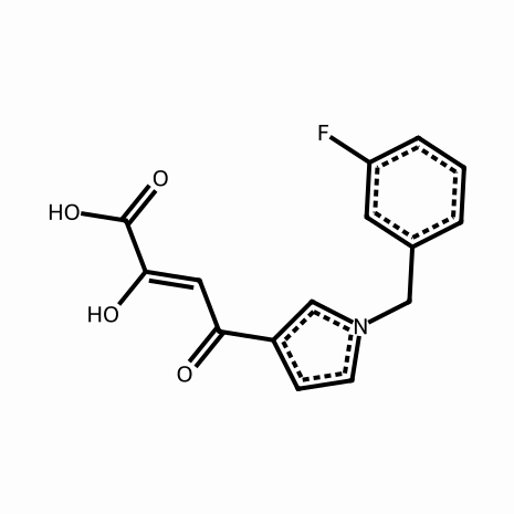 O=C(O)/C(O)=C/C(=O)c1ccn(Cc2cccc(F)c2)c1